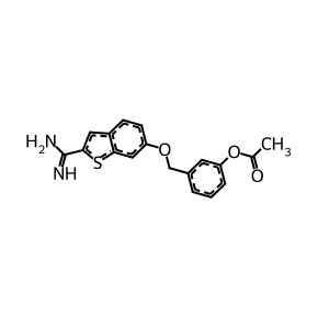 CC(=O)Oc1cccc(COc2ccc3cc(C(=N)N)sc3c2)c1